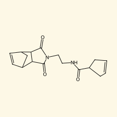 O=C(NCCN1C(=O)C2C3C=CC(C3)C2C1=O)C1CC=CC1